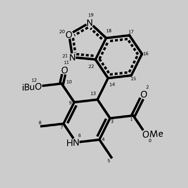 COC(=O)C1=C(C)NC(C)=C(C(=O)OCC(C)C)C1c1cccc2nonc12